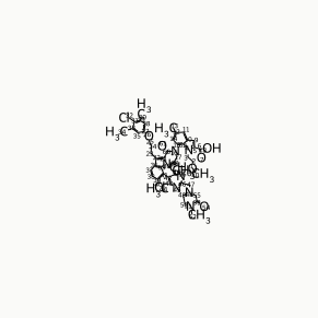 COCCn1c(C(=O)O)cc2cc(C)cc(N3CC(C)n4c(c(CCCOc5cc(C)c(Cl)c(C)c5)c5ccc(Cl)c(-c6c(C)nc(CN7CCN(C)C(=O)C7)nc6C)c54)C3=O)c21